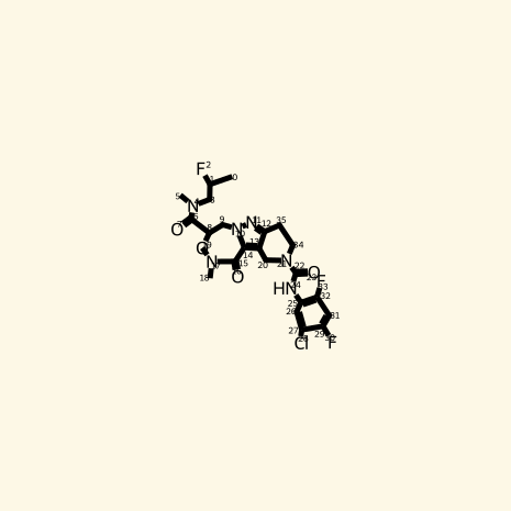 CC(F)CN(C)C(=O)C1Cn2nc3c(c2C(=O)N(C)O1)CN(C(=O)Nc1cc(Cl)c(F)cc1F)CC3